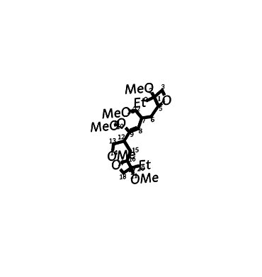 CCC1(OC)COC1CC(C=C(OOC)C(COC)CC1OCC1(CC)OC)COC